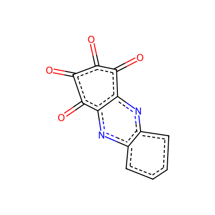 O=c1c(=O)c(=O)c2nc3ccccc3nc2c1=O